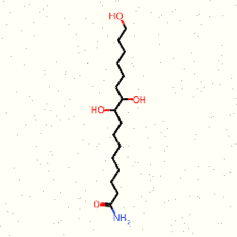 NC(=O)CCCCCCCC(O)C(O)CCCCCCO